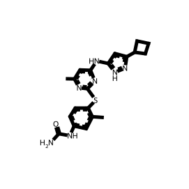 Cc1cc(Nc2cc(C3CCC3)n[nH]2)nc(Sc2ccc(NC(N)=O)cc2C)n1